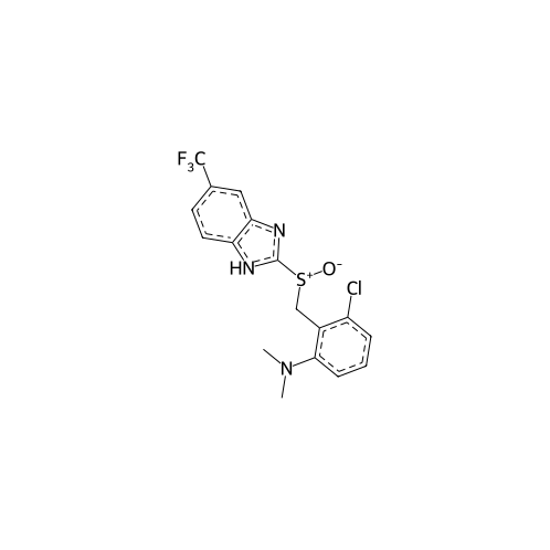 CN(C)c1cccc(Cl)c1C[S+]([O-])c1nc2cc(C(F)(F)F)ccc2[nH]1